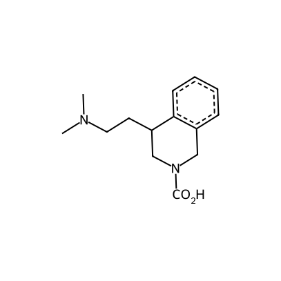 CN(C)CCC1CN(C(=O)O)Cc2ccccc21